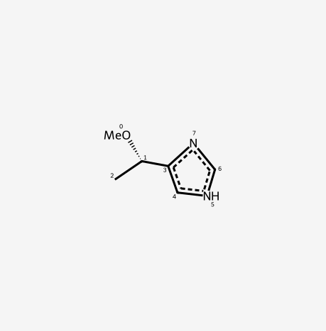 CO[C@@H](C)c1c[nH]cn1